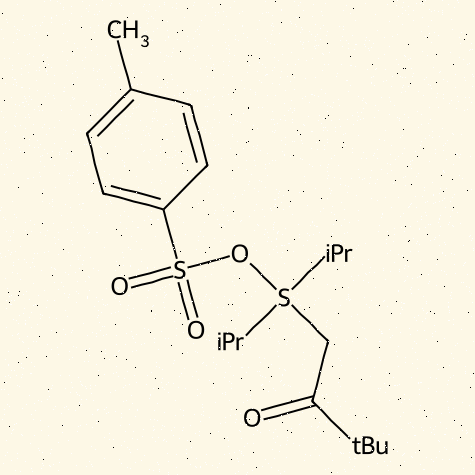 Cc1ccc(S(=O)(=O)OS(CC(=O)C(C)(C)C)(C(C)C)C(C)C)cc1